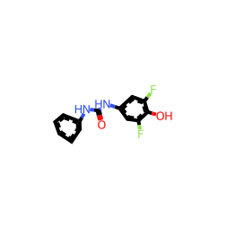 O=C(Nc1ccccc1)Nc1cc(F)c(O)c(F)c1